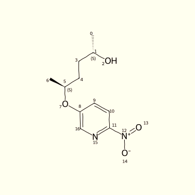 C[C@H](O)CC[C@H](C)Oc1ccc([N+](=O)[O-])nc1